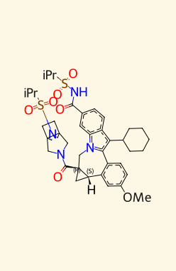 COc1ccc2c(c1)[C@@H]1C[C@]1(C(=O)N1CC34CCC3(C1)CN(S(=O)(=O)C(C)C)C4)Cn1c-2c(C2CCCCC2)c2ccc(C(=O)NS(=O)(=O)C(C)C)cc21